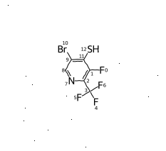 Fc1c(C(F)(F)F)ncc(Br)c1S